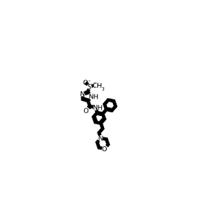 C[S+]([O-])c1ncc(C(=O)Nc2ccc(CCN3CCOCC3)cc2C2=CCCCC2)[nH]1